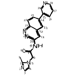 Cc1nccn1CC(=O)Nc1cc2cc(-c3cccnc3)ccc2nn1